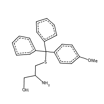 COc1ccc(C(SCC(N)CO)(c2ccccc2)c2ccccc2)cc1